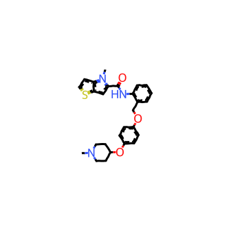 CN1CCC(Oc2ccc(OCc3ccccc3NC(=O)c3cc4sccc4n3C)cc2)CC1